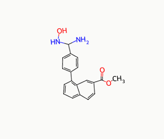 COC(=O)c1ccc2cccc(-c3ccc(C(N)NO)cc3)c2c1